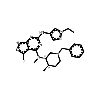 CCn1cc(Nc2nc(N(C)[C@H]3CN(Cc4ccccc4)CC[C@H]3C)c3c(Cl)n[nH]c3n2)cn1